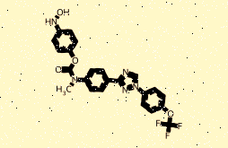 CN(C(=O)Oc1ccc(NO)cc1)c1ccc(-c2ncn(-c3ccc(OC(F)(F)F)cc3)n2)cc1